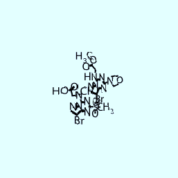 CN(CC(=O)O)c1nc(S(C)(=O)=O)nc2c(Br)cnn12.COC(=O)CNc1nc(N2CCOCC2)nc2c(Br)cnn12